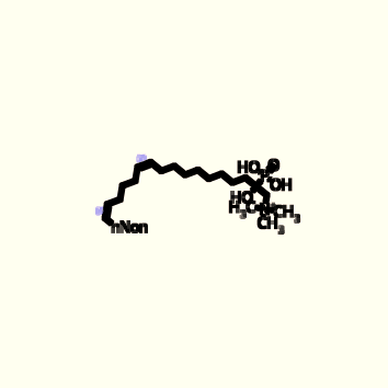 CCCCCCCCC/C=C\CCC/C=C\CCCCCCCCC(O)(C[N+](C)(C)C)P(=O)(O)O